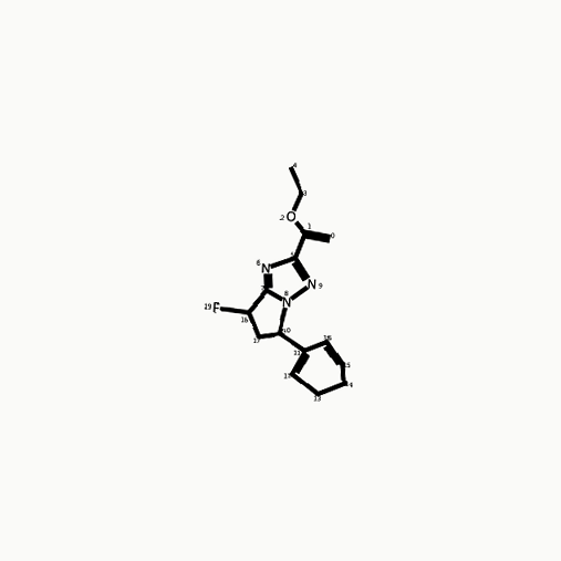 C=C(OCC)c1nc2n(n1)C(C1=CCCC=C1)CC2F